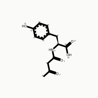 CC(=O)CC(=O)N[C@@H](Cc1ccc(O)cc1)C(=O)O